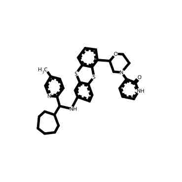 Cc1ccc(C(Nc2ccc3c(c2)Sc2cccc(C4CN(c5ccc[nH]c5=O)CCO4)c2S3)C2CCCCCC2)nc1